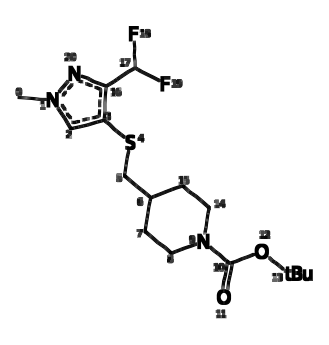 Cn1cc(SCC2CCN(C(=O)OC(C)(C)C)CC2)c(C(F)F)n1